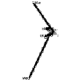 CCC1CC(=O)N(CC(=O)N(CCOCCOCCOCCOCCOCCOCCOCCOCCOCCOCCOC)CCC(=O)N[C@H](C(=O)N[C@@H](C)C(=O)Nc2ccc(COC(=O)C(C)(C)C)c(CCCOCCOCCOCCOCCOCCOCCOCCOCCOCCOCOCCCOCCOCCOCCOCCOCCOC)c2)C(C)C)C1